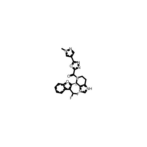 Cn1cc(-c2nnc(C(=O)N3CCc4[nH]cnc4[C@H]3c3oc4ccccc4c3C(F)F)o2)cn1